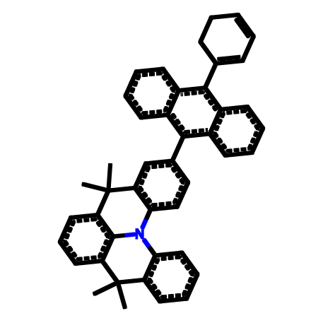 CC1(C)c2ccccc2N2c3ccc(-c4c5ccccc5c(C5=CC=CCC5)c5ccccc45)cc3C(C)(C)c3cccc1c32